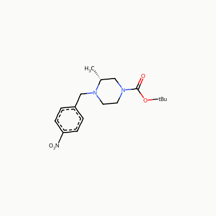 C[C@@H]1CN(C(=O)OC(C)(C)C)CCN1Cc1ccc([N+](=O)[O-])cc1